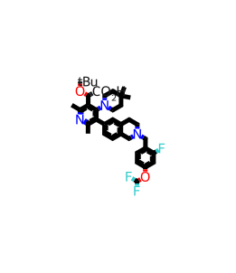 Cc1nc(C)c(C(OC(C)(C)C)C(=O)O)c(N2CCC(C)(C)CC2)c1-c1ccc2c(c1)CCN(Cc1ccc(OC(F)F)cc1F)C2